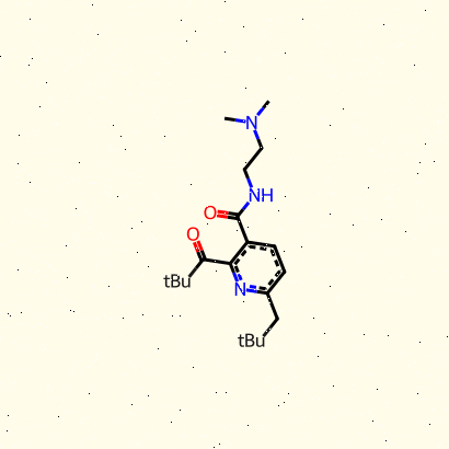 CN(C)CCNC(=O)c1ccc(CC(C)(C)C)nc1C(=O)C(C)(C)C